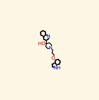 OC1(c2cnc3ccccc3c2)CCN(CCCOc2cccc3[nH]ccc23)CC1